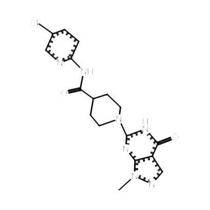 Cn1ncc2c(=O)[nH]c(N3CCC(C(=O)Nc4ccc(Cl)cn4)CC3)nc21